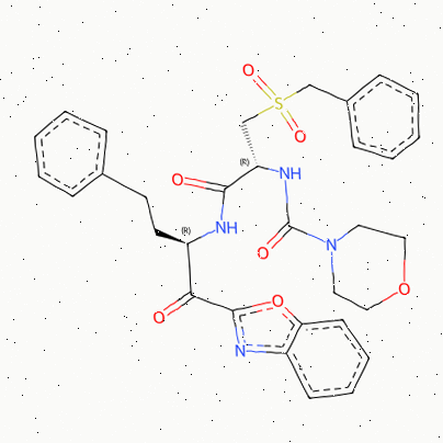 O=C(N[C@H](CCc1ccccc1)C(=O)c1nc2ccccc2o1)[C@H](CS(=O)(=O)Cc1ccccc1)NC(=O)N1CCOCC1